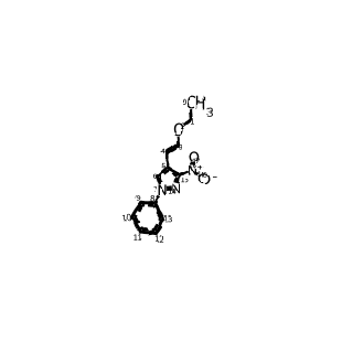 CCO/C=C/c1cn(-c2ccccc2)nc1[N+](=O)[O-]